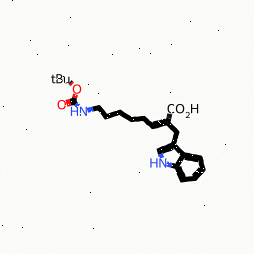 CC(C)(C)OC(=O)NCCCCCC=C(Cc1c[nH]c2ccccc12)C(=O)O